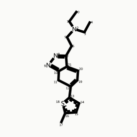 CCN(CC)CCC1=NN=C2CC(c3ccc(C)s3)=CC=C12